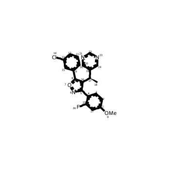 COc1ccc(-c2noc(-c3cccc(Cl)c3)c2[C@H](C)c2cncnc2)c(F)c1